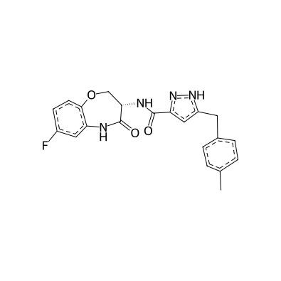 Cc1ccc(Cc2cc(C(=O)N[C@H]3COc4ccc(F)cc4NC3=O)n[nH]2)cc1